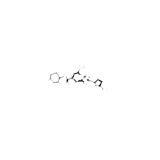 Cc1ccc(-c2nc3cc(C(=O)NC4CCCCC4)cc(N)n3n2)s1